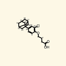 O=C(O)CCCOc1ccc(C23CC4CC(CC(C4)C2)C3)cc1Cl